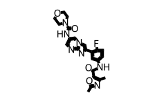 Cc1nc(C)c(C(=O)Nc2ccc(F)c(-c3cn4cc(NC(=O)N5CCOCC5)cnc4n3)c2)o1